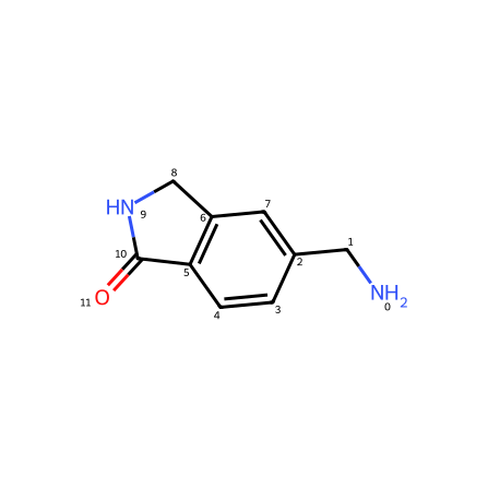 NCc1ccc2c(c1)CNC2=O